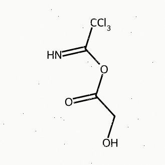 N=C(OC(=O)CO)C(Cl)(Cl)Cl